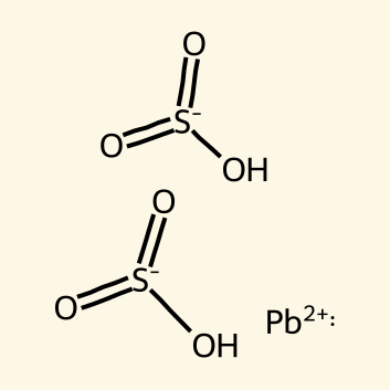 O=[S-](=O)O.O=[S-](=O)O.[Pb+2]